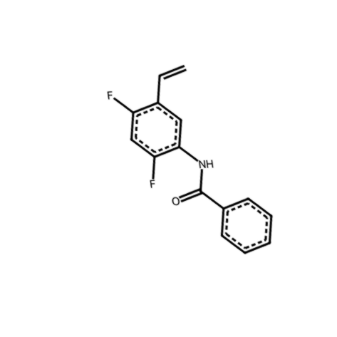 C=Cc1cc(NC(=O)c2ccccc2)c(F)cc1F